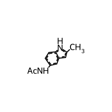 CC(=O)Nc1ccc2[nH]c(C)cc2c1